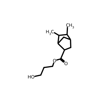 CC1C2CC(C(=O)OCCCO)C(C2)C1C